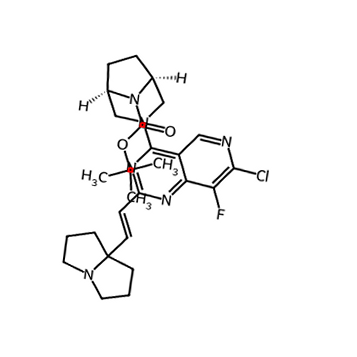 CC(C)(C)OC(=O)N1[C@@H]2CC[C@H]1CN(c1nc(/C=C/C34CCCN3CCC4)nc3c(F)c(Cl)ncc13)C2